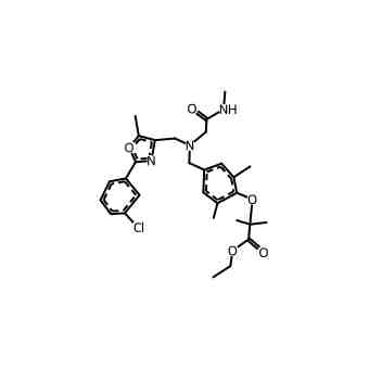 CCOC(=O)C(C)(C)Oc1c(C)cc(CN(CC(=O)NC)Cc2nc(-c3cccc(Cl)c3)oc2C)cc1C